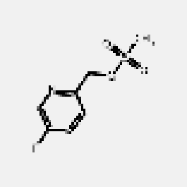 CS(=O)(=O)OCc1ccc(F)cn1